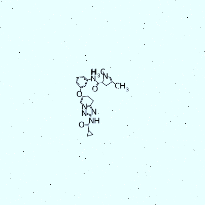 CC1=CN(C)C(C(=O)Nc2cccc(OC3=Cn4nc(NC(=O)C5CC5)nc4CC3)c2)C1